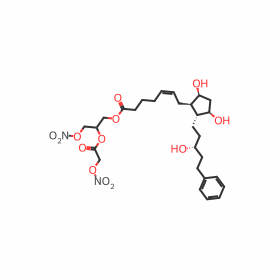 O=C(CCC/C=C\C[C@@H]1[C@@H](CC[C@@H](O)CCc2ccccc2)[C@H](O)C[C@@H]1O)OCC(CO[N+](=O)[O-])OC(=O)CO[N+](=O)[O-]